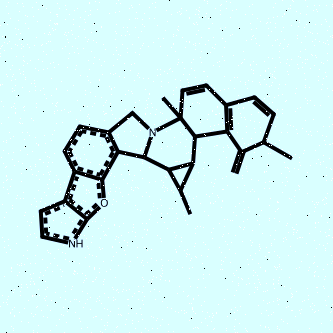 C=C1C2=C(C=CC1C)C=CC1(C)C2C2C(C)C2C2c3c(ccc4c3oc3[nH]ccc34)CN21